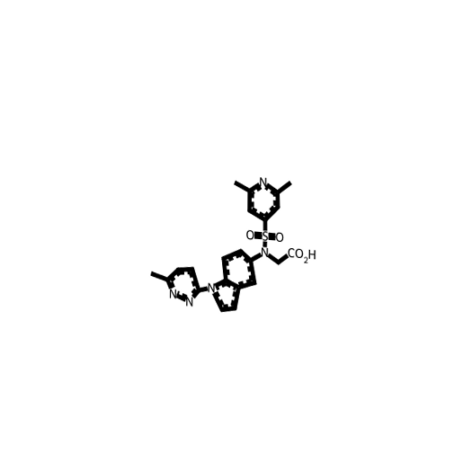 Cc1ccc(-n2ccc3cc(N(CC(=O)O)S(=O)(=O)c4cc(C)nc(C)c4)ccc32)nn1